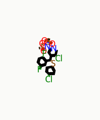 CS(=O)(=O)N(c1cc(C(Sc2ccc(Cl)cc2)c2cc(F)ccc2F)c(Cl)cn1)S(C)(=O)=O